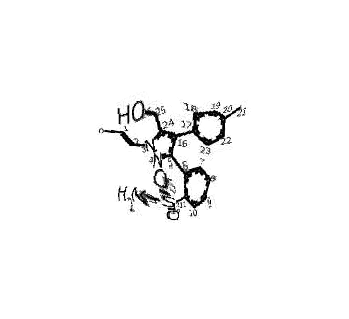 CC=Cn1nc(-c2ccccc2S(N)(=O)=O)c(-c2ccc(C)cc2)c1CO